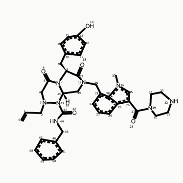 C=CCN1CC(=O)N2[C@@H](Cc3ccc(O)cc3)C(=O)N(Cc3cccc4c(C(=O)N5CCNCC5)cn(C)c34)C[C@@H]2N1C(=O)NCc1ccccc1